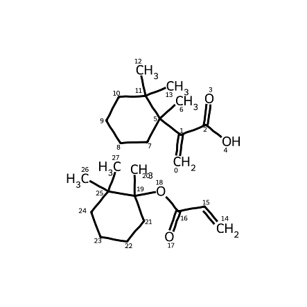 C=C(C(=O)O)C1(C)CCCCC1(C)C.C=CC(=O)OC1(C)CCCCC1(C)C